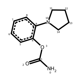 NC(=O)Oc1ccccc1N1CCCC1